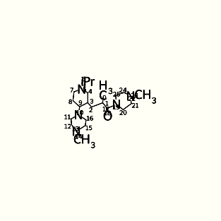 CC(CC1CN(C(C)C)CCC1N1CCN(C)CC1)C(=O)N1CCN(C)CC1